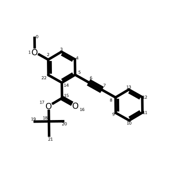 COc1ccc(C#Cc2ccccc2)c(C(=O)OC(C)(C)C)c1